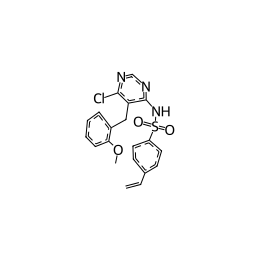 C=Cc1ccc(S(=O)(=O)Nc2ncnc(Cl)c2Cc2ccccc2OC)cc1